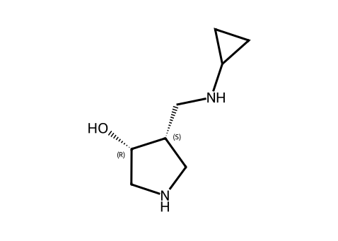 O[C@H]1CNC[C@H]1CNC1CC1